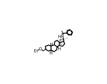 CCOC[C@H]1CC[C@@H]2C3CC[C@@]4(C)C(CCC4[C@@H](C)N[C@@H](C)c4ccccc4)[C@@H]3CC[C@@H]2C1